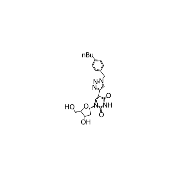 CCCCc1ccc(Cn2cc(-c3cn([C@H]4C[C@H](O)[C@@H](CO)O4)c(=O)[nH]c3=O)nn2)cc1